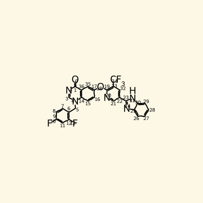 O=c1ncn(Cc2ccc(F)cc2F)c2ccc(Oc3ncc(-c4nc5ccccc5[nH]4)cc3C(F)(F)F)cc12